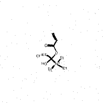 C=CC(=O)OC(O)(CC)[N+](CC)(CC)CC.[Cl-]